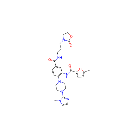 Cc1ccc(C(=O)Nc2cc(C(=O)NCCCN3CCOC3=O)ccc2N2CCN(c3nccn3C)CC2)o1